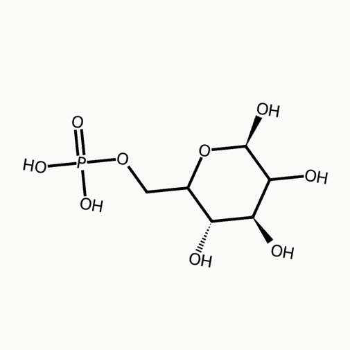 O=P(O)(O)OCC1O[C@@H](O)C(O)[C@@H](O)[C@@H]1O